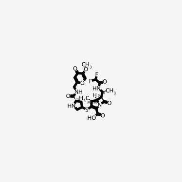 COc1coc(CNC(=O)[C@@H]2CC(SC3=C(C(=O)O)N4C(=O)[C@H]([C@@H](C)NC(=O)C(F)F)[C@@H]4[C@H]3C)CN2)cc1=O